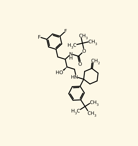 C=C1CCCC(NC[C@@H](O)C(Cc2cc(F)cc(F)c2)NC(=O)OC(C)(C)C)(c2cccc(C(C)(C)C)c2)C1